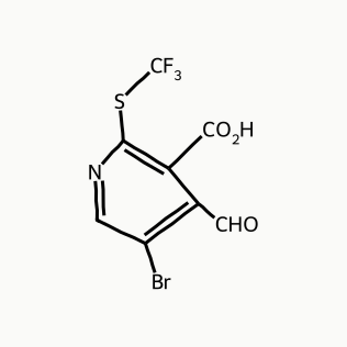 O=Cc1c(Br)cnc(SC(F)(F)F)c1C(=O)O